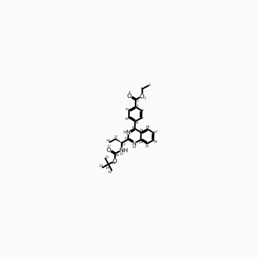 CCOC(=O)c1ccc(-c2nc([C@H](CC)NC(=O)OC(C)(C)C)nc3ccccc23)cc1